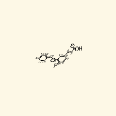 O=C(O)/C=C/c1ccc(F)c(OCc2ccccc2)c1